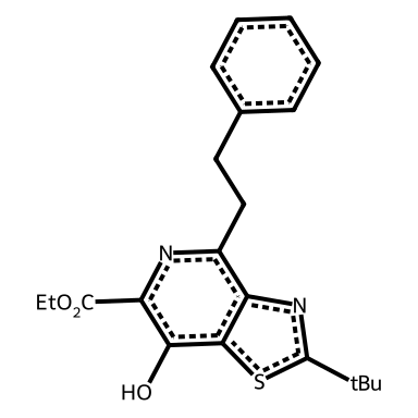 CCOC(=O)c1nc(CCc2ccccc2)c2nc(C(C)(C)C)sc2c1O